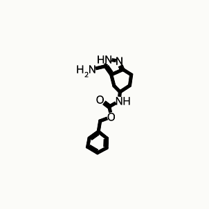 Nc1[nH]nc2c1CC(NC(=O)OCc1ccccc1)CC2